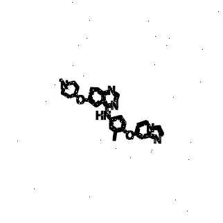 Cc1cc(Nc2ncnc3ccc(OC4CCN(C)CC4)cc23)ccc1Oc1ccn2ccnc2c1